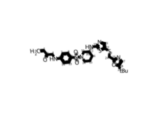 C=CC(=O)CNc1ccc(S(=O)(=O)N2CCC[C@@H](Nc3ncc(SCc4ncc(C(C)(C)C)o4)s3)C2)cc1